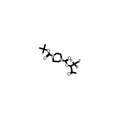 CC(=O)C(OC(=O)N1CCN(C(=O)OC(C)(C)C)CC1)C(F)(F)F